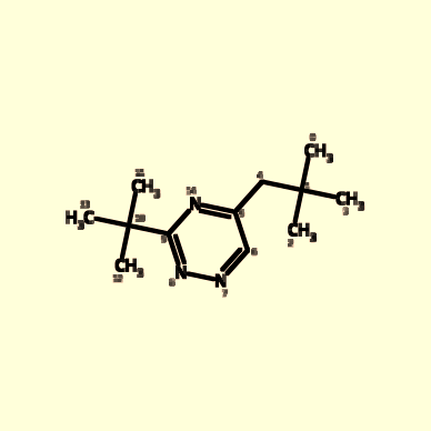 CC(C)(C)Cc1cnnc(C(C)(C)C)n1